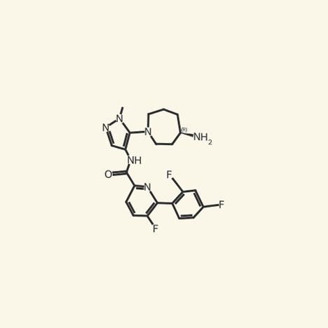 Cn1ncc(NC(=O)c2ccc(F)c(-c3ccc(F)cc3F)n2)c1N1CCC[C@@H](N)CC1